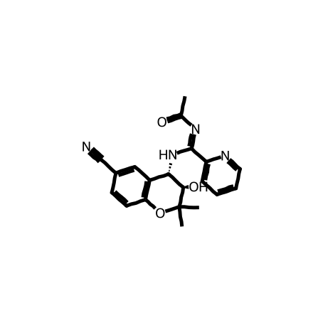 CC(=O)/N=C(\N[C@H]1c2cc(C#N)ccc2OC(C)(C)[C@@H]1O)c1ccccn1